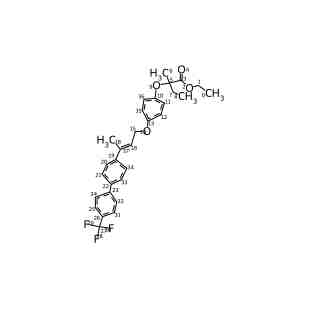 CCOC(=O)C(C)(CC)Oc1ccc(OC/C=C(\C)c2ccc(-c3ccc(C(F)(F)F)cc3)cc2)cc1